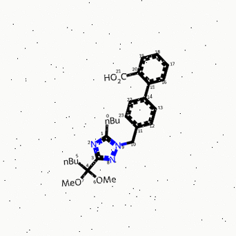 CCCCc1nc(C(CCCC)(OC)OC)nn1Cc1ccc(-c2ccccc2C(=O)O)cc1